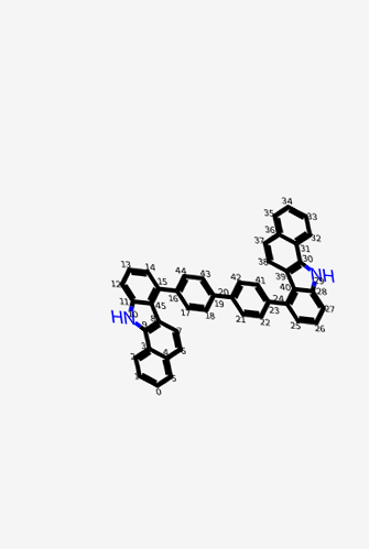 c1ccc2c(c1)ccc1c2[nH]c2cccc(-c3ccc(-c4ccc(-c5cccc6[nH]c7c8ccccc8ccc7c56)cc4)cc3)c21